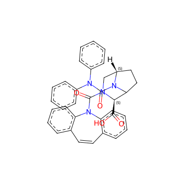 O=C(O)[C@@H]1C2CC[C@@H](CN1C(=O)N1c3ccccc3C=Cc3ccccc31)N2C(=O)N(c1ccccc1)c1ccccc1